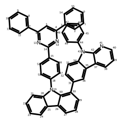 c1ccc(-c2cc(-c3ccccc3)nc(-c3ccc(-n4c5ccccc5c5cccc(-c6ccc7c(c6)c6cccnc6n7-c6ccccc6)c54)cc3)n2)cc1